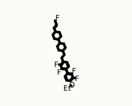 CCOc1ccc(-c2ccc(CCC3CCC(C4CCC(/C=C/CF)CC4)CC3)c(F)c2F)c(F)c1F